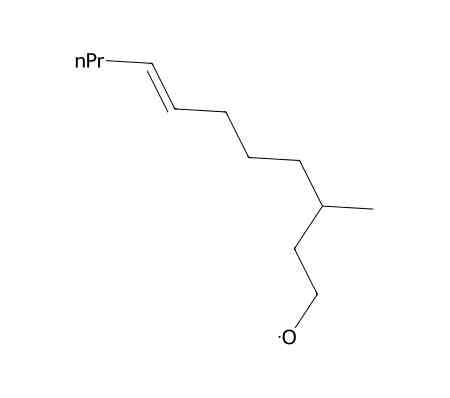 CCC/C=C/CCCC(C)CC[O]